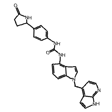 O=C1CCC(c2ccc(NC(=O)Nc3cccc4c3ccn4Cc3ccnc4[nH]ccc34)cc2)N1